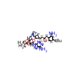 CC(C)N(C[C@H]1O[C@@H](n2cnc3c(N)ncnc32)[C@@H]2OC(C)(C)O[C@@H]21)[C@H]1C[C@@H](CCC(=O)Cc2ccc(C(C)(C)C)cc2N)C1